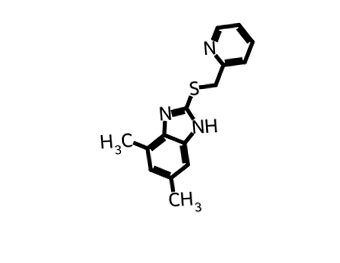 Cc1cc(C)c2nc(SCc3ccccn3)[nH]c2c1